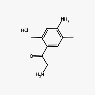 Cc1cc(C(=O)CN)c(C)cc1N.Cl